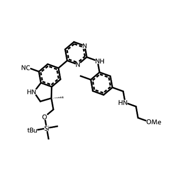 COCCNCc1ccc(C)c(Nc2nccc(-c3cc(C#N)c4c(c3)[C@@](C)(CO[Si](C)(C)C(C)(C)C)CN4)n2)c1